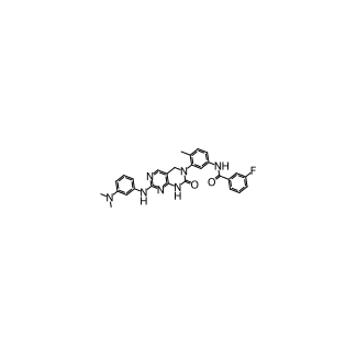 Cc1ccc(NC(=O)c2cccc(F)c2)cc1N1Cc2cnc(Nc3cccc(N(C)C)c3)nc2NC1=O